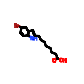 O=C(O)CCCCCCCc1cc2cc(Br)ccc2[nH]1